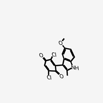 COc1ccc2[nH]c(C)c(C3=C(Cl)C(=O)C=C(Cl)C3=O)c2c1